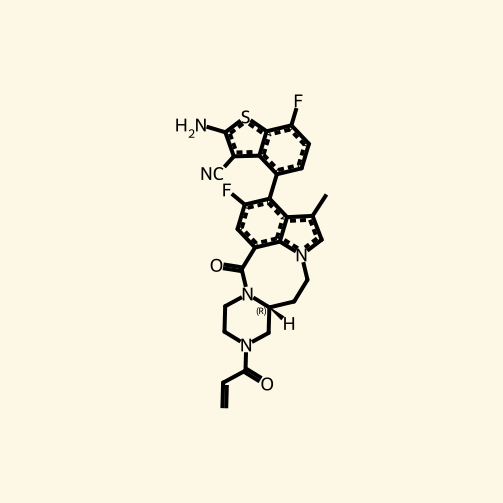 C=CC(=O)N1CCN2C(=O)c3cc(F)c(-c4ccc(F)c5sc(N)c(C#N)c45)c4c(C)cn(c34)CC[C@@H]2C1